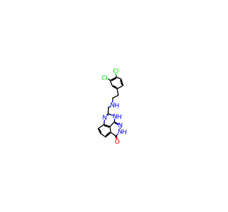 O=c1[nH]nc2c3c(cccc13)N=C(CNCCc1ccc(Cl)c(Cl)c1)N2